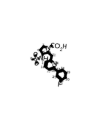 CS(=O)(=O)NC1CCN(C(=O)O)C1Cc1cccc(-c2cccc(F)c2)n1